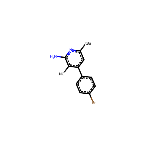 CC(C)(C)c1cc(-c2ccc(Br)cc2)c(C#N)c(N)n1